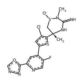 CN1C(=N)N[C@](C)(c2sc(-c3cc(-c4nnco4)ncc3F)cc2Cl)C[S+]1[O-]